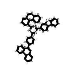 c1ccc2c(c1)cc(-c1ccc(-c3nc(-c4ccc5c(c4)oc4ccccc45)nc(-c4cccc5ccc6ccccc6c45)n3)cc1)c1ccccc12